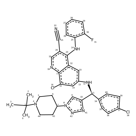 CC(C)(C)N1CCC(n2cc([C@@H](Nc3cc(Cl)c4ncc(C#N)c(Nc5ccccc5F)c4c3)c3ccc(Cl)cc3)nn2)CC1